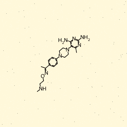 CNCCON=C(C)c1ccc(N2CCN(c3c(C)nc(N)nc3N)CC2)cc1